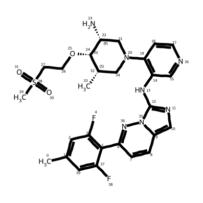 Cc1cc(F)c(-c2ccc3cnc(Nc4cnccc4N4C[C@@H](N)[C@@H](OCCS(C)(=O)=O)[C@@H](C)C4)n3n2)c(F)c1